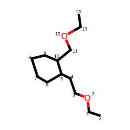 CCOCCC1CCCCC1COCC